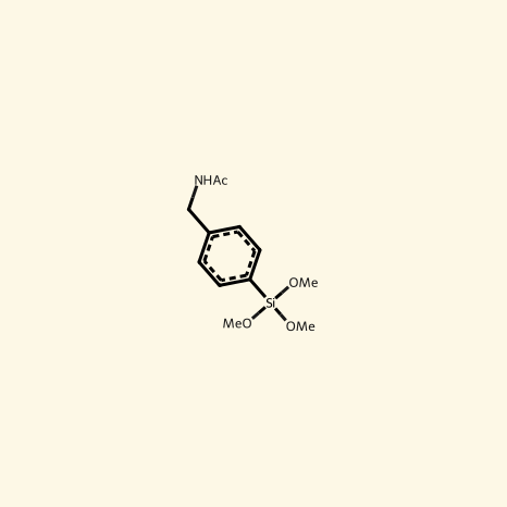 CO[Si](OC)(OC)c1ccc(CNC(C)=O)cc1